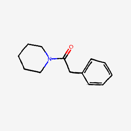 O=C(Cc1[c]cccc1)N1CCCCC1